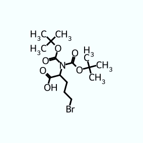 CC(C)(C)OC(=O)N(C(=O)OC(C)(C)C)C(CCCBr)C(=O)O